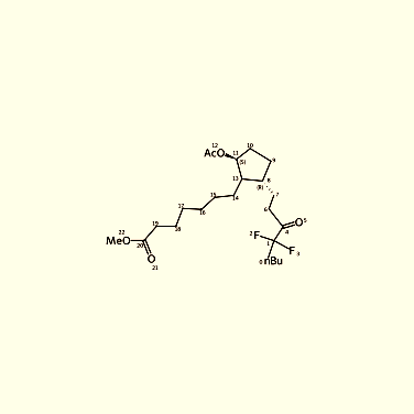 CCCCC(F)(F)C(=O)CC[C@H]1CC[C@H](OC(C)=O)C1CCCCCCC(=O)OC